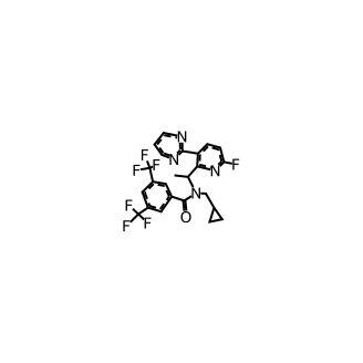 CC(c1nc(F)ccc1-c1ncccn1)N(CC1CC1)C(=O)c1cc(C(F)(F)F)cc(C(F)(F)F)c1